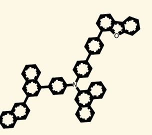 c1ccc2cc(-c3cc(-c4ccc(N(c5ccc(-c6ccc(-c7cccc8c7oc7ccccc78)cc6)cc5)c5cc6ccccc6c6ccccc56)cc4)c4ccccc4c3)ccc2c1